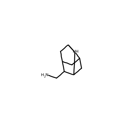 NCC1C2CC3CC1CC(C2)N3